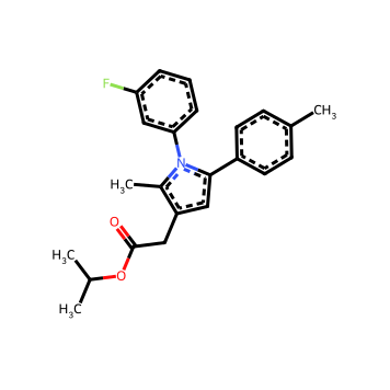 Cc1ccc(-c2cc(CC(=O)OC(C)C)c(C)n2-c2cccc(F)c2)cc1